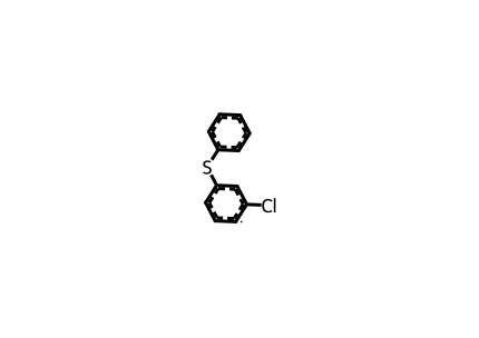 Clc1[c]ccc(Sc2ccccc2)c1